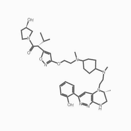 CC(C)[C@@H](C(=O)N1CC[C@@H](O)C1)c1cc(OCCN(C)C2CCC(N(C)CCN3c4cc(-c5ccccc5O)nnc4NC[C@H]3C)CC2)no1